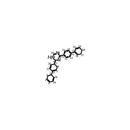 C1=CCC(C2=CCC(C3N=C(c4ccc(C5=CCCC=C5)cc4)N=CN3)C=C2)C=C1